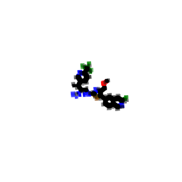 COCc1nc(NC[C@@H](N)[C@@H](C)c2ccc(C(F)(F)F)nc2)sc1-c1ccc2cnc(F)cc2c1